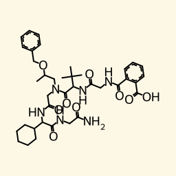 CC(CN(CC(=O)NC(C(=O)NCC(N)=O)C1CCCCC1)C(=O)C(NC(=O)CNC(=O)c1ccccc1C(=O)O)C(C)(C)C)OCc1ccccc1